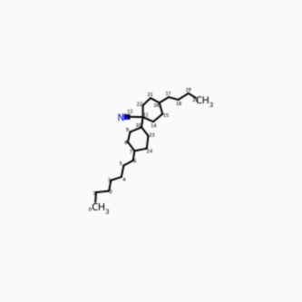 CCCCCCCC1CCC(C2(C#N)CCC(CCCC)CC2)CC1